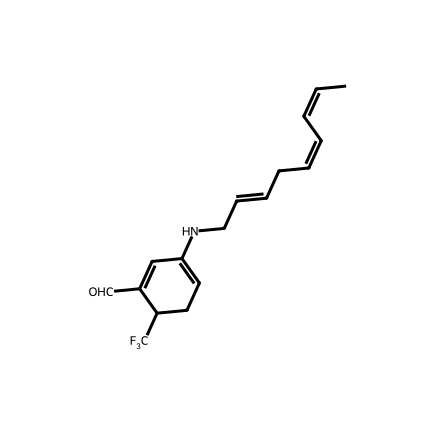 C/C=C\C=C/C/C=C/CNC1=CCC(C(F)(F)F)C(C=O)=C1